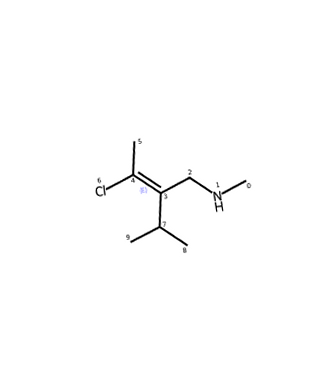 CNC/C(=C(\C)Cl)C(C)C